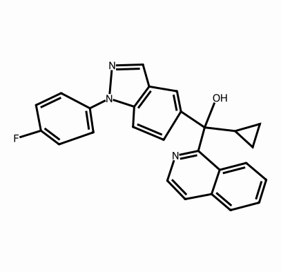 OC(c1ccc2c(cnn2-c2ccc(F)cc2)c1)(c1nccc2ccccc12)C1CC1